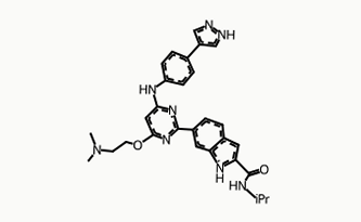 CC(C)NC(=O)c1cc2ccc(-c3nc(Nc4ccc(-c5cn[nH]c5)cc4)cc(OCCN(C)C)n3)cc2[nH]1